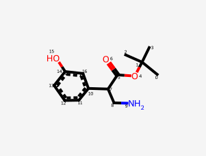 CC(C)(C)OC(=O)C(CN)c1cccc(O)c1